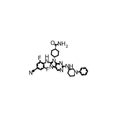 N#Cc1cc(F)c(Nc2nc3cnc(N[C@@H]4CCCN(c5ccccc5)C4)nc3n2[C@H]2CC[C@H](C(N)=O)CC2)c(F)c1